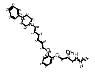 CC(C)NNC[C@H](O)COc1ccccc1OCCCCCCN1CCN(c2ccccc2)CC1